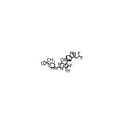 [2H]c1c(F)c(-c2ccc3nnn(CC(F)F)c3c2)c2c(OC)nc(NC3CCN(C4(C)COC4)CC3)nn12